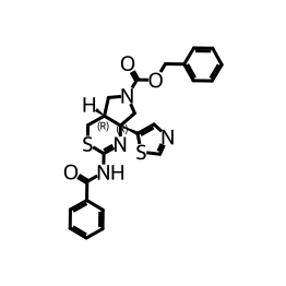 O=C(NC1=N[C@@]2(c3cncs3)CN(C(=O)OCc3ccccc3)C[C@H]2CS1)c1ccccc1